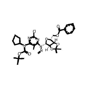 C=NN(c1nc(Cl)nc(N(C(=O)OC(C)(C)C)C2CCCC2)c1C)[C@@H]1O[C@H](COC(=O)c2ccccc2)[C@H]2OC(C)(C)O[C@H]21